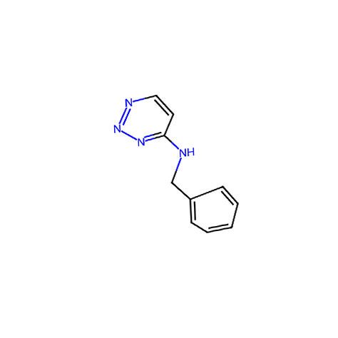 c1ccc(CNc2ccnnn2)cc1